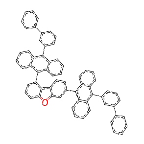 c1ccc(-c2cccc(-c3c4ccccc4c(-c4ccc5c(c4)oc4cccc(-c6c7ccccc7c(-c7cccc(-c8ccccc8)c7)c7ccccc67)c45)c4ccccc34)c2)cc1